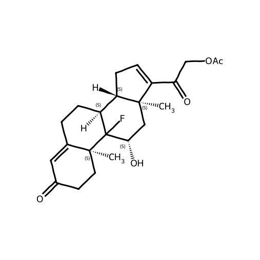 CC(=O)OCC(=O)C1=CC[C@H]2[C@@H]3CCC4=CC(=O)CC[C@]4(C)C3(F)[C@@H](O)C[C@]12C